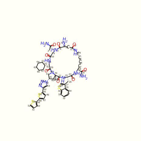 NC(=O)C[C@@H]1NC(=O)[C@@H](N)CC(=O)NCCCC[C@@H](C(N)=O)NC(=O)[C@H](Cc2csc3ccccc23)NC(=O)[C@@H]2C[C@H](n3cc(-c4ccc(-c5cccs5)s4)nn3)CN2C(=O)[C@H](C2CCCCC2)NC1=O